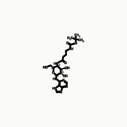 CC(C)(C)OC(=O)NCCCC(=O)N[C@@H]1[C@@H](O)[C@H](O)[C@@H](Nc2ncnc3nc[nH]c23)O[C@H]1CO